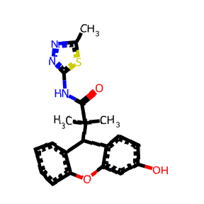 Cc1nnc(NC(=O)C(C)(C)C2c3ccccc3Oc3cc(O)ccc32)s1